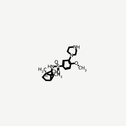 COc1ccc(S(=O)(=O)NC2CC3CC[C@]2(C)C3(C)C)cc1N1CCNCC1